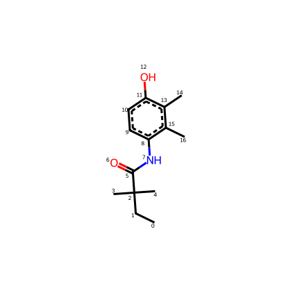 CCC(C)(C)C(=O)Nc1ccc(O)c(C)c1C